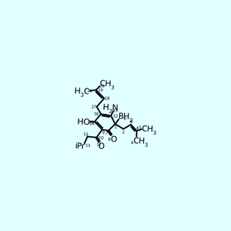 BC1(CC=C(C)C)C(=O)C(C(=O)CC(C)C)=C(O)C(CC=C(C)C)=C1N